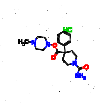 CN1CCN(OC(=O)C2(c3ccccc3)CCN(C(N)=O)CC2)CC1.Cl